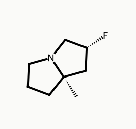 C[C@]12CCCN1C[C@H](F)C2